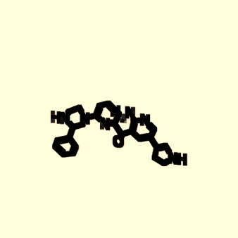 Nc1ncc(C2=CNCC2)cc1C(=O)c1cccc(N2CCNC(c3ccccc3)C2)n1